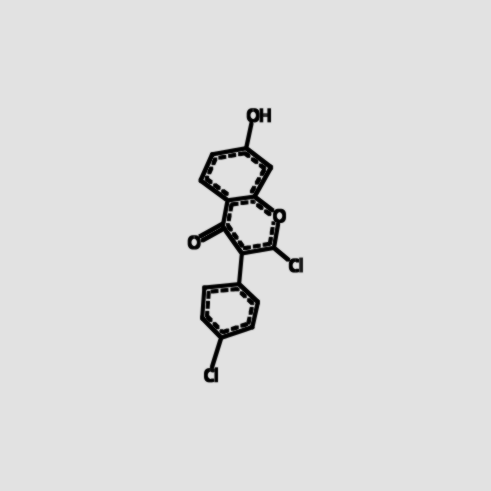 O=c1c(-c2ccc(Cl)cc2)c(Cl)oc2cc(O)ccc12